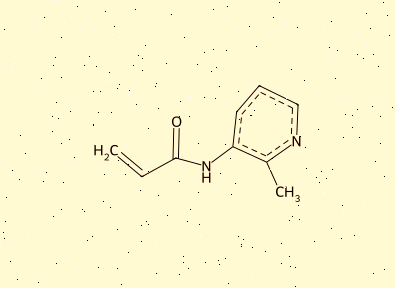 C=CC(=O)Nc1cccnc1C